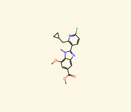 COC(=O)c1cc(OC)c2c(c1)nc(-c1ccc(F)nc1CC1CC1)n2C